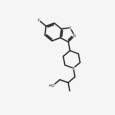 CC(CO)CN1CCC(c2nsc3cc(F)ccc23)CC1